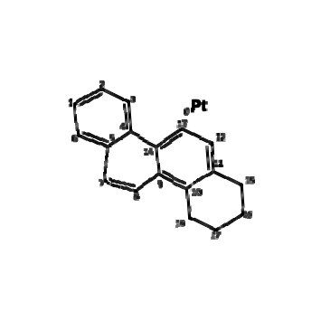 [Pt].c1ccc2c(c1)ccc1c3c(ccc12)CCCC3